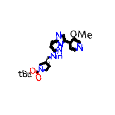 COc1cnccc1-c1cnc2ccc(NC[C@@H]3CCN(C(=O)OC(C)(C)C)C3)nn12